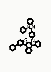 c1ccc(-c2ccc3sc4c(c3c2)c2ccccc2c2c3ccccc3n(-c3ccc(-c5nc6ccccc6n5-c5ccccc5)cc3)c42)cc1